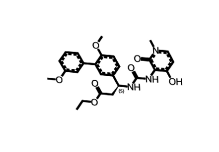 CCOC(=O)C[C@H](NC(=O)Nc1c(O)ccn(C)c1=O)c1ccc(OC)c(-c2cccc(OC)c2)c1